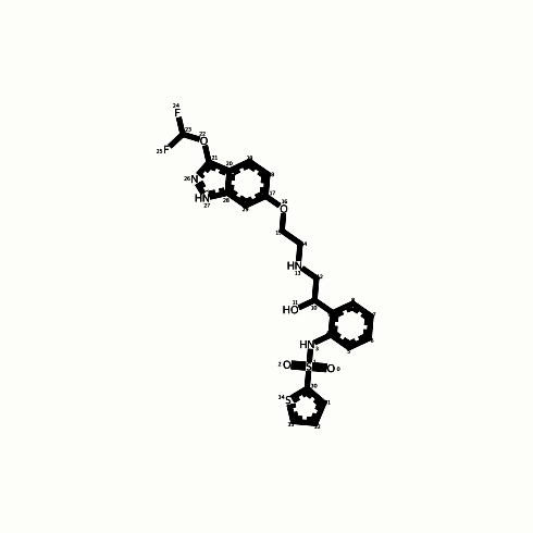 O=S(=O)(Nc1ccccc1C(O)CNCCOc1ccc2c(OC(F)F)n[nH]c2c1)c1cccs1